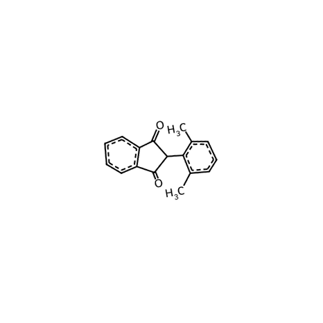 Cc1cccc(C)c1C1C(=O)c2ccccc2C1=O